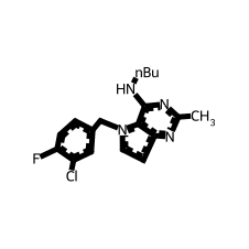 CCCCNc1nc(C)nc2ccn(Cc3ccc(F)c(Cl)c3)c12